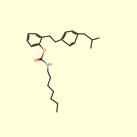 CCCCCCCNC(=O)Oc1ccccc1CCc1ccc(CC(C)C)cc1